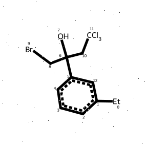 CCc1cccc(C(O)(CBr)CC(Cl)(Cl)Cl)c1